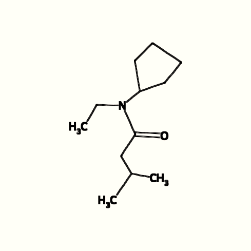 CCN(C(=O)CC(C)C)C1CCCC1